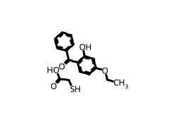 CCOc1ccc(C(=O)c2ccccc2)c(O)c1.O=C(O)CS